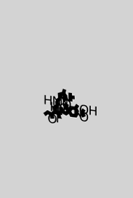 CCC(=O)c1cc(Nc2cc(C)n(C(C)(C)C)n2)nc(CC2(C(=O)O)CCN(C(=O)O)C(C)C2)c1F